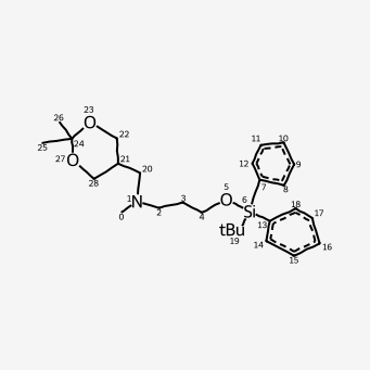 CN(CCCO[Si](c1ccccc1)(c1ccccc1)C(C)(C)C)CC1COC(C)(C)OC1